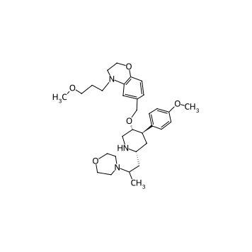 COCCCN1CCOc2ccc(CO[C@H]3CN[C@@H](CC(C)N4CCOCC4)C[C@@H]3c3ccc(OC)cc3)cc21